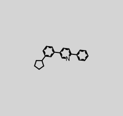 c1ccc(-c2ccc(-c3cccc(C4CCCC4)c3)cn2)cc1